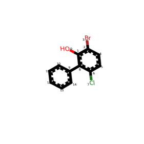 Oc1c(Br)ccc(Cl)c1-c1ccccc1